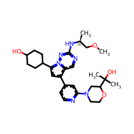 COC[C@H](C)Nc1ncc2c(-c3ccnc(N4CCOC(C(C)(C)O)C4)c3)cc(C3CCC(O)CC3)n2n1